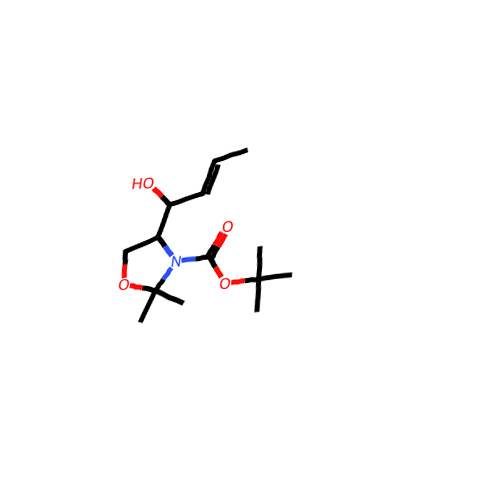 C/C=C/C(O)C1COC(C)(C)N1C(=O)OC(C)(C)C